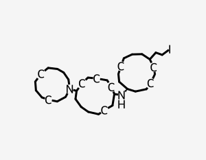 ICCC1CCCCCC[C@H](NC2CCCCCCC(N3CCCCCCCCCCC3)CCCCC2)CCCCC1